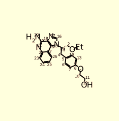 CCOC[C@H](Cc1ccc(OCCO)cc1)n1cnc2c(N)nc3ccccc3c21